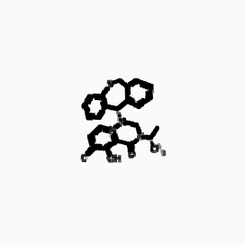 C[C@@H](N1CN([C@H]2c3ccccc3CSc3ccccc32)n2ccc(=O)c(O)c2C1=O)C(F)(F)F